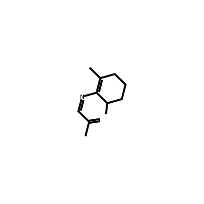 C=C(C)/C=N\C1=C(C)CCCC1C